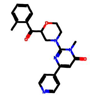 Cc1ccccc1C(=O)C1CN(c2nc(-c3ccncc3)cc(=O)n2C)CCO1